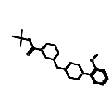 COc1ccccc1N1CCN(CC2CCCN(C(=O)OC(C)(C)C)C2)CC1